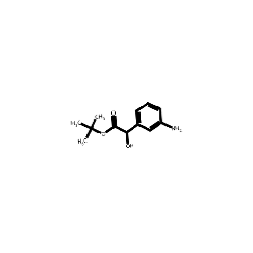 CC(C)(C)OC(=O)C(O)c1cccc(N)c1